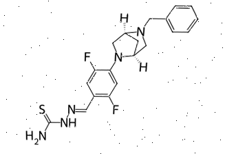 NC(=S)NN=Cc1cc(F)c(N2C[C@@H]3C[C@H]2CN3Cc2ccccc2)cc1F